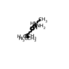 CCCCNc1cc2ccc(CCCCN(C)C(C)(C)C)cc2nc1N